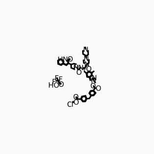 Cc1cc(C[C@@H](NC(=O)N2CCC(c3cc4ccccc4[nH]c3=O)CC2)C(=O)N2CCN(C3CCN(C)CC3)CC2)cc2cn(COC(=O)c3ccc(Cc4ccc(C(=O)OCCl)cc4)cc3)nc12.O=C(O)C(F)(F)F